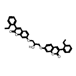 CCc1ccccc1-c1cc2ccc(OCC(O)COc3ccc4cc(-c5ccccc5CC)c(=O)oc4c3)cc2oc1=O